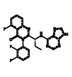 CC[C@@H](Nc1ncnc2[nH]cnc12)c1nc2cccc(F)c2c(=O)n1-c1cccc(F)c1F